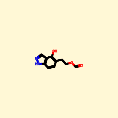 O=COCCc1ccc2[nH]ncc2c1O